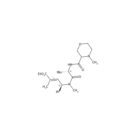 CCOC(=O)/C(C)=C/[C@H](C(C)C)N(C)C(=O)[C@@H](NC(=O)C1COCCN1C)C(C)(C)C